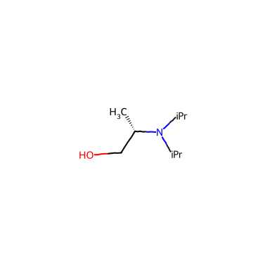 CC(C)N(C(C)C)[C@@H](C)CO